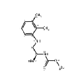 CCCC[C@@H](CNc1cccc(C)c1C)NC(=O)OC(C)(C)C